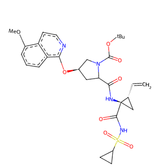 C=C[C@@H]1C[C@]1(NC(=O)C1C[C@@H](Oc2nccc3c(OC)cccc23)CN1C(=O)OC(C)(C)C)C(=O)NS(=O)(=O)C1CC1